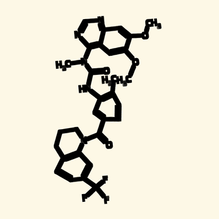 COc1cc2ncnc(N(C)C(=O)Nc3cc(C(=O)N4CCCc5ccc(C(F)(F)F)cc54)ccc3C)c2cc1OC